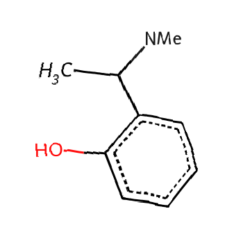 [CH2]NC(C)c1ccccc1O